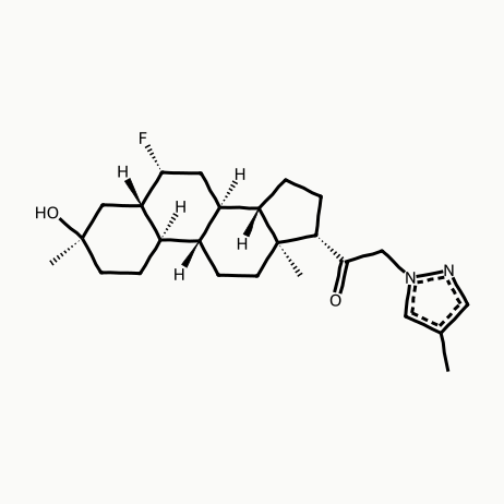 Cc1cnn(CC(=O)[C@H]2CC[C@H]3[C@@H]4C[C@@H](F)[C@H]5C[C@](C)(O)CC[C@@H]5[C@H]4CC[C@]23C)c1